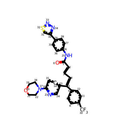 O=C(C=CC=C(c1ccc(C(F)(F)F)cc1)c1ccc(N2CCOCC2)nc1)Nc1ccc(-c2csnn2)cc1